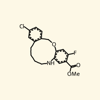 COC(=O)c1cc2c(cc1F)OCc1ccc(Cl)cc1CCCCN2